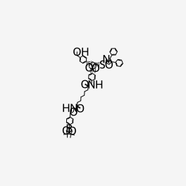 CC1(C)OB(c2ccc(CONC(=O)CCCCCCC(=O)Nc3ccc([C@H]4O[C@@H](CSc5nc(-c6ccccc6)c(-c6ccccc6)o5)C[C@@H](c5ccc(CO)cc5)O4)cc3)cc2)OC1(C)C